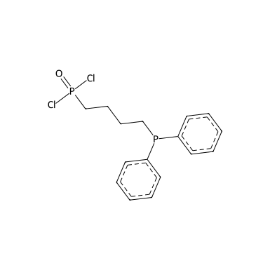 O=P(Cl)(Cl)CCCCP(c1ccccc1)c1ccccc1